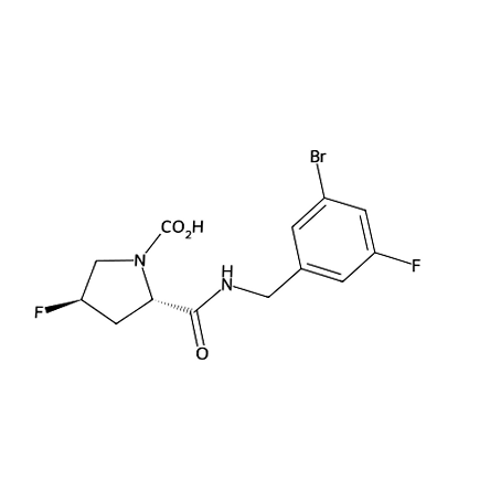 O=C(NCc1cc(F)cc(Br)c1)[C@@H]1C[C@@H](F)CN1C(=O)O